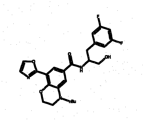 CCCCN1CCOc2c(-c3ncco3)cc(C(=O)NC(CO)Cc3cc(F)cc(F)c3)cc21